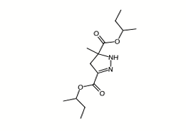 CCC(C)OC(=O)C1=NNC(C)(C(=O)OC(C)CC)C1